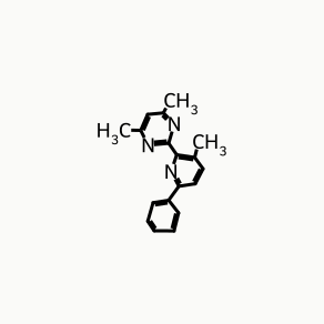 Cc1cc(C)nc(-c2nc(-c3ccccc3)ccc2C)n1